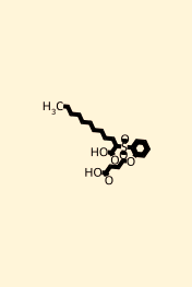 CCCCCCCCCCC(C(=O)O)S(=O)(=O)c1ccccc1OCCCC(=O)O